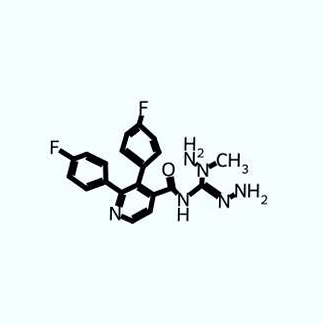 CN(N)/C(=N\N)NC(=O)c1ccnc(-c2ccc(F)cc2)c1-c1ccc(F)cc1